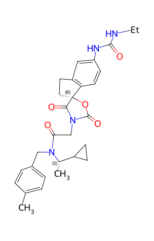 CCNC(=O)Nc1ccc2c(c1)CC[C@@]21OC(=O)N(CC(=O)N(Cc2ccc(C)cc2)[C@@H](C)C2CC2)C1=O